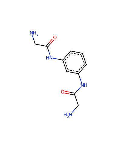 NCC(=O)Nc1c[c]cc(NC(=O)CN)c1